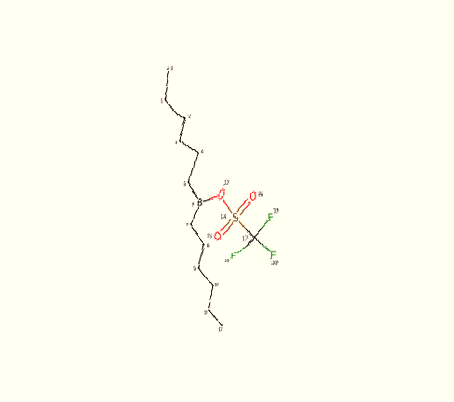 CCCCCCB(CCCCCC)OS(=O)(=O)C(F)(F)F